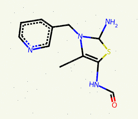 CC1=C(NC=O)SC(N)N1Cc1cccnc1